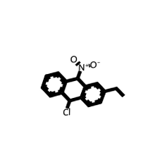 CCc1ccc2c(c1)C([N+](=O)[O-])c1ccccc1C2Cl